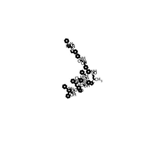 CC(C)CCSC(=O)Nc1ccccc1.O=C(NC(=S)Nc1ccc2c(c1)CCC2)c1ccccc1.O=C(Nc1ccccc1)c1nnc(-c2ccccc2)o1.O=C(O)Nc1ccc(Cl)cc1.O=C1Nc2ccccc2C1=Cc1ccc2c(c1)CCO2.Oc1nc(O)c2c(-c3ccccc3)cc(-c3ccccc3)[o+]c2n1.c1ccc(-n2ncc3c(N4CCc5ccccc54)ncnc32)cc1